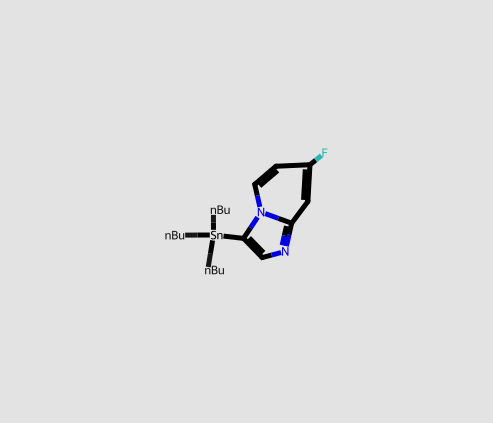 CCC[CH2][Sn]([CH2]CCC)([CH2]CCC)[c]1cnc2cc(F)ccn12